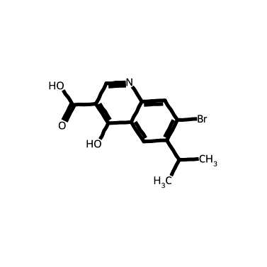 CC(C)c1cc2c(O)c(C(=O)O)cnc2cc1Br